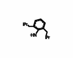 CC(C)Cc1cccc(CC(C)C)c1[NH]